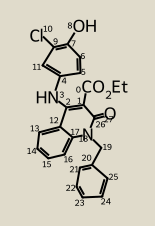 CCOC(=O)c1c(Nc2ccc(O)c(Cl)c2)c2ccccc2n(Cc2ccccc2)c1=O